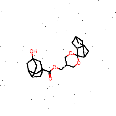 O=C(OCC1COC2(OC1)C1CC3CC(C1)C2C3)C12CC3CC(O)(CC3C1)C2